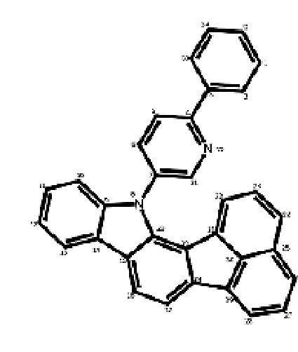 c1ccc(-c2ccc(-n3c4ccccc4c4ccc5c(c43)-c3cccc4cccc-5c34)cn2)cc1